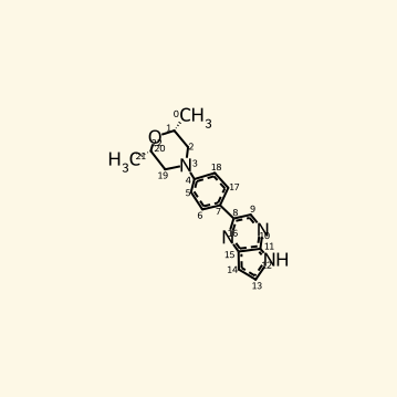 C[C@@H]1CN(c2ccc(-c3cnc4[nH]ccc4n3)cc2)C[C@H](C)O1